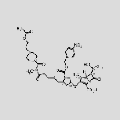 C[C@@H](O)[C@H]1C(=O)N2C(C(=O)O)=C(S[C@H]3C[C@@H](CSCCC(=O)N(C)C(=O)N4CCN(CCOC(N)=O)CC4)N(C(=O)OCc4ccc([N+](=O)[O-])cc4)C3)[C@H](C)[C@H]12